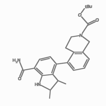 CC1Nc2c(C(N)=O)ccc(-c3cccc4c3CCN(C(=O)OC(C)(C)C)C4)c2C1C